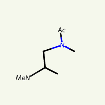 CNC(C)CN(C)C(C)=O